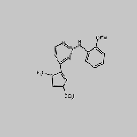 COc1ccccc1Nc1nccc(-c2cc(C(=O)O)cn2C)n1